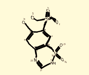 O=S(=O)(Cl)c1cc2c(cc1Cl)N=CNS2(=O)=O